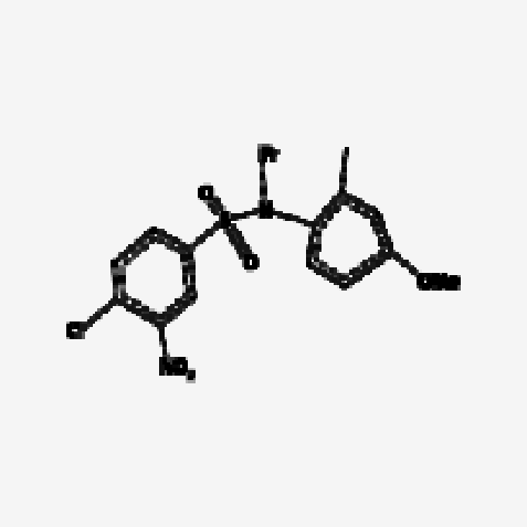 COc1ccc(N(C(C)C)S(=O)(=O)c2ccc(Cl)c([N+](=O)[O-])c2)c(C)c1